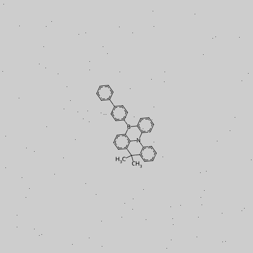 CC1(C)c2ccccc2N2c3ccccc3B(c3ccc(-c4ccccc4)cc3)c3cccc1c32